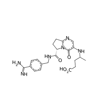 CC(CCC(=O)O)Nc1cnc2n(c1=O)[C@H](C(=O)NCc1ccc(C(=N)N)cc1)CC2